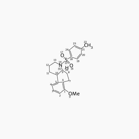 COc1cccc2c1CC[C@H]1C2CCCN1S(=O)(=O)c1ccc(C)cc1